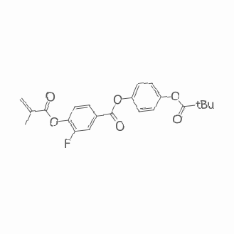 C=C(C)C(=O)Oc1ccc(C(=O)Oc2ccc(OC(=O)C(C)(C)C)cc2)cc1F